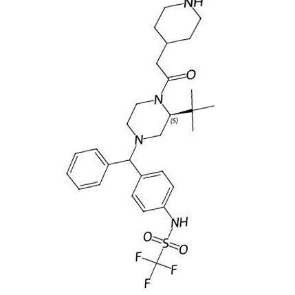 CC(C)(C)[C@H]1CN(C(c2ccccc2)c2ccc(NS(=O)(=O)C(F)(F)F)cc2)CCN1C(=O)CC1CCNCC1